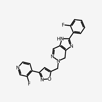 Fc1cnccc1-c1cc(CN2Cc3nc(-c4ccccc4F)[nH]c3C=N2)on1